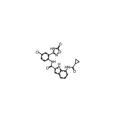 O=C(Nc1ccc(Cl)cc1-c1noc(=O)[nH]1)c1cc2cccc(NC(=O)C3CC3)c2[nH]1